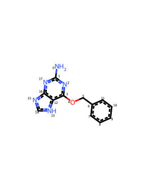 Nc1nc(OCc2ccccc2)c2[nH][c]nc2n1